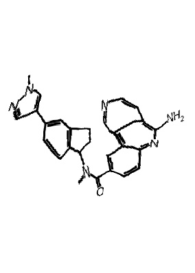 CN(C(=O)c1ccc2nc(N)c3ccncc3c2c1)C1CCc2cc(-c3cnn(C)c3)ccc21